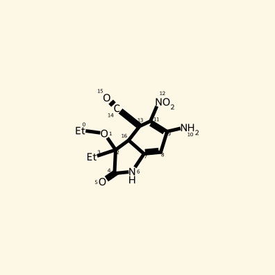 CCOC1(CC)C(=O)NC2=CC(N)=C([N+](=O)[O-])C(=C=O)C21